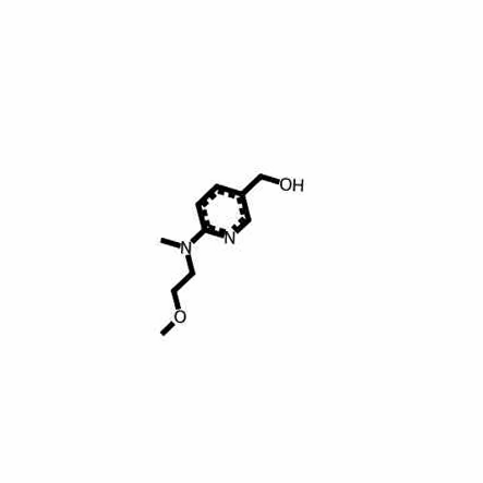 COCCN(C)c1ccc(CO)cn1